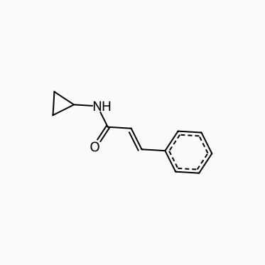 O=C(/C=C/c1ccccc1)NC1CC1